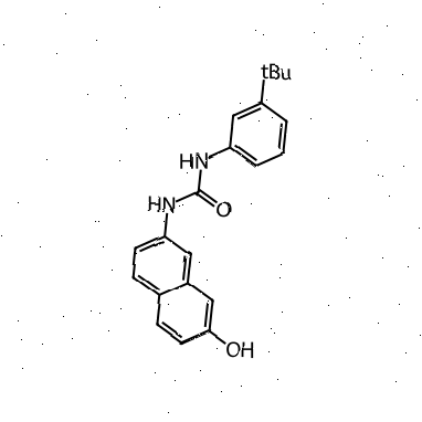 CC(C)(C)c1cccc(NC(=O)Nc2ccc3ccc(O)cc3c2)c1